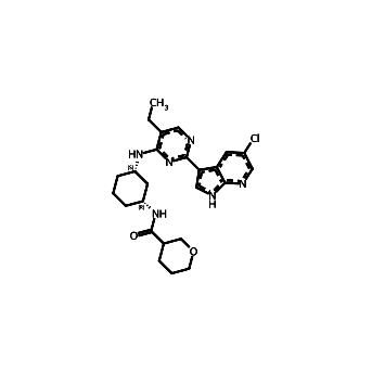 CCc1cnc(-c2c[nH]c3ncc(Cl)cc23)nc1N[C@H]1CCC[C@@H](NC(=O)C2CCCOC2)C1